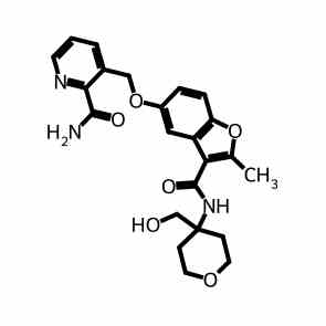 Cc1oc2ccc(OCc3cccnc3C(N)=O)cc2c1C(=O)NC1(CO)CCOCC1